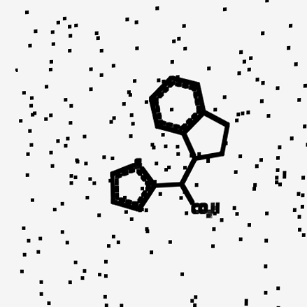 O=C(O)C(c1cccs1)C1CCc2ccccc21